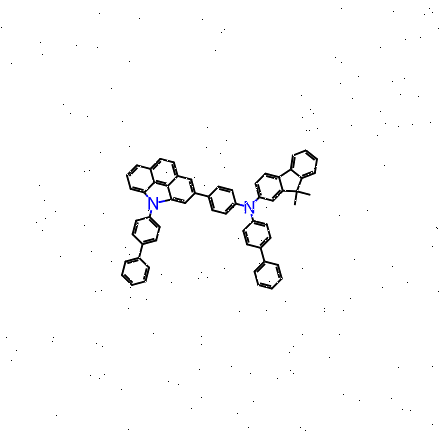 CC1(C)c2ccccc2-c2ccc(N(c3ccc(-c4ccccc4)cc3)c3ccc(-c4cc5ccc6cccc7c6c5c(c4)n7-c4ccc(-c5ccccc5)cc4)cc3)cc21